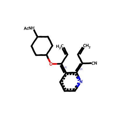 C=C/C(C#N)=c1/nccc/c1=C(/C=C)OC1CCC(NC(C)=O)CC1